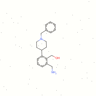 NCc1cccc(C2CCN(Cc3ccccc3)CC2)c1CO